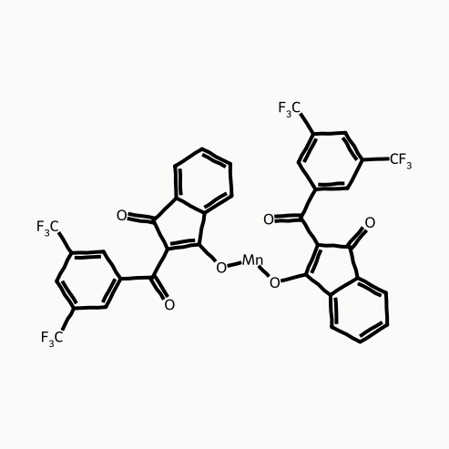 O=C(C1=C([O][Mn][O]C2=C(C(=O)c3cc(C(F)(F)F)cc(C(F)(F)F)c3)C(=O)c3ccccc32)c2ccccc2C1=O)c1cc(C(F)(F)F)cc(C(F)(F)F)c1